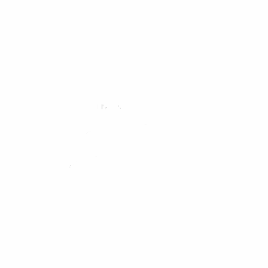 O=C(Cc1ccccc1)c1n[nH]c2cc(Br)ccc12